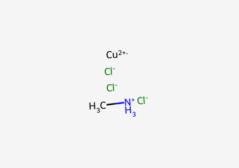 C[NH3+].[Cl-].[Cl-].[Cl-].[Cu+2]